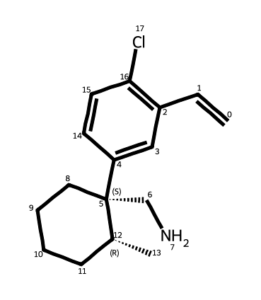 C=Cc1cc([C@]2(CN)CCCC[C@H]2C)ccc1Cl